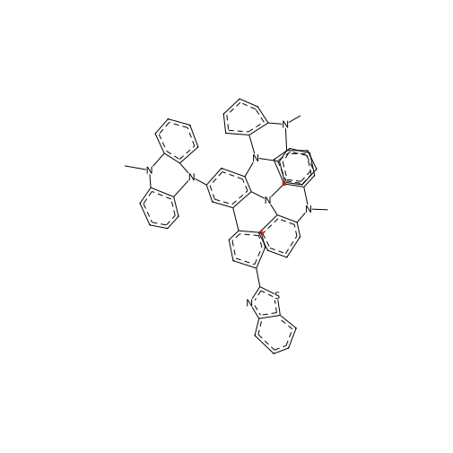 CN1c2ccccc2N(c2cc(-c3ccc(-c4nc5ccccc5s4)cc3)c(N3c4ccccc4N(C)c4ccccc43)c(N3c4ccccc4N(C)c4ccccc43)c2)c2ccccc21